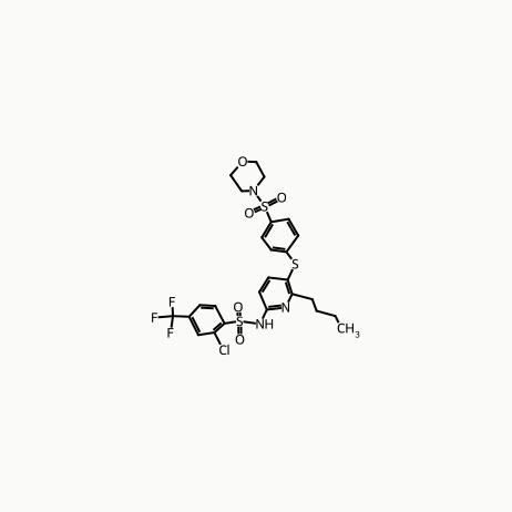 CCCCc1nc(NS(=O)(=O)c2ccc(C(F)(F)F)cc2Cl)ccc1Sc1ccc(S(=O)(=O)N2CCOCC2)cc1